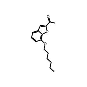 CCCCCCOc1cccc2cc(C(C)=O)oc12